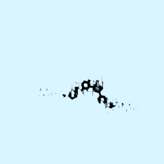 COC[C@@H]1CCN(C(=O)Nc2cc(-c3cc(-c4ccnc(NC(=O)OC)c4)cnn3)c(C)cc2F)C1